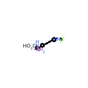 C[C@@H](N)[C@H](NC(=O)c1ccc(C#CC#Cc2ccc(CNCC(F)F)cc2)cc1)C(=O)O